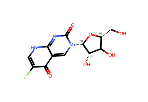 O=c1c(F)c[nH]c2nc(=O)n([C@@H]3O[C@H](CO)C(O)[C@@H]3O)cc12